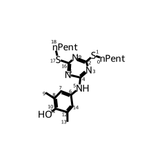 CCCCCSc1nc(Nc2cc(C)c(O)c(C)c2)nc(SCCCCC)n1